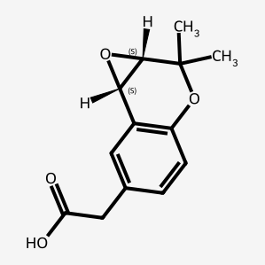 CC1(C)Oc2ccc(CC(=O)O)cc2[C@@H]2O[C@@H]21